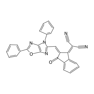 N#CC(C#N)=C1/C(=C/c2nc3oc(-c4ccccc4)nc3n2-c2ccccc2)C(=O)c2ccccc21